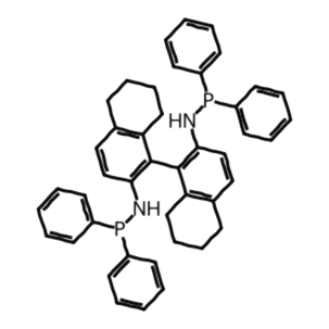 c1ccc(P(Nc2ccc3c(c2-c2c(NP(c4ccccc4)c4ccccc4)ccc4c2CCCC4)CCCC3)c2ccccc2)cc1